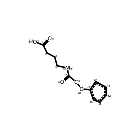 O=C(O)CCCNC(=O)COc1ccccc1